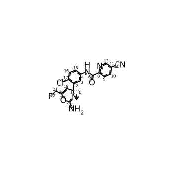 C[C@@]1(c2cc(NC(=O)c3ccc(C#N)cn3)ccc2Cl)C=C(CF)OC(N)=N1